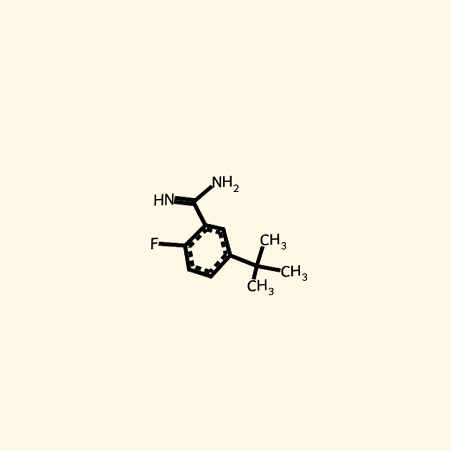 CC(C)(C)c1ccc(F)c(C(=N)N)c1